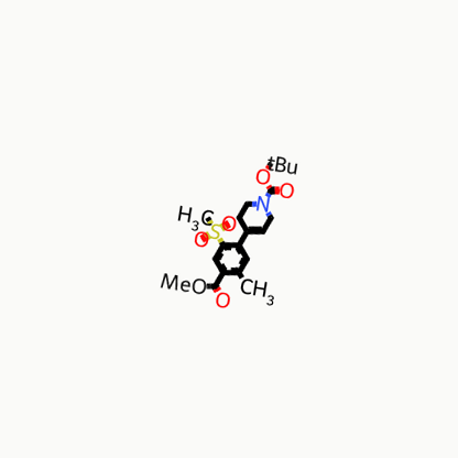 COC(=O)c1cc(S(C)(=O)=O)c(C2=CCN(C(=O)OC(C)(C)C)CC2)cc1C